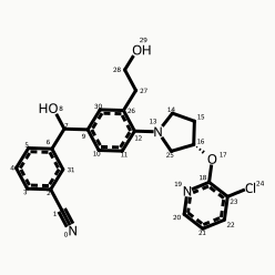 N#Cc1cccc(C(O)c2ccc(N3CC[C@H](Oc4ncccc4Cl)C3)c(CCO)c2)c1